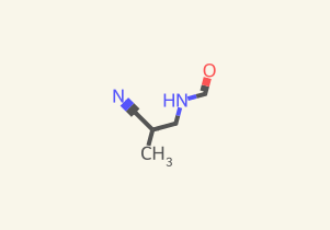 C[C](C#N)CNC=O